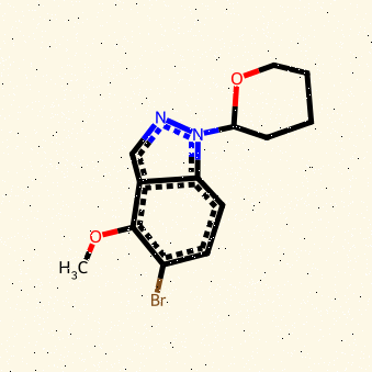 COc1c(Br)ccc2c1cnn2C1CCCCO1